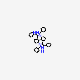 c1ccc(-c2nc(-c3ccccc3-c3ccccc3-c3nc(-c4ccccc4)[nH]c3-c3ccccc3)c(-c3ccccc3)[nH]2)cc1